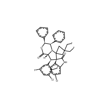 O=C1O[C@@H](c2ccccc2)[C@@H](c2ccccc2)N2[C@@H]1[C@H](c1cc(F)cc(Cl)c1F)[C@@]1(C(=O)Nc3cc(Cl)ccc31)C21CC(CF)(CF)C1